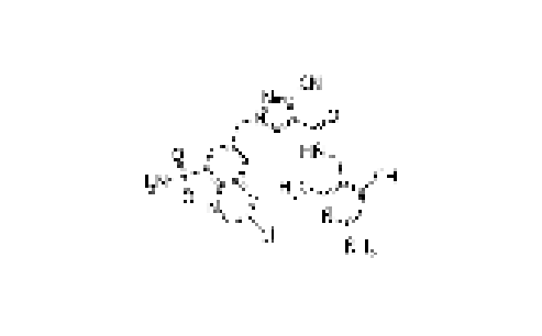 Cc1cc(N)nc(C)c1CNC(=O)c1cn(Cc2cc(S(N)(=O)=O)c3ncc(Cl)cc3c2)nc1C#N